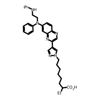 CCC(CCCCCCn1cc(-c2cnc3ccc(N(CCNC(C)C)c4ccccc4)cc3n2)cn1)C(=O)O